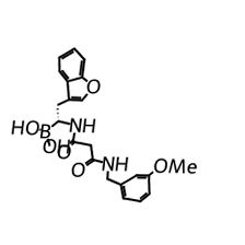 COc1cccc(CNC(=O)CC(=O)N[C@@H](Cc2coc3ccccc23)B(O)O)c1